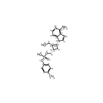 Cc1ccc(OP(=O)(O)OC[C@H]2C[C@@H](n3cnc4c(N)ncnc43)[C@@H]2CO)cc1